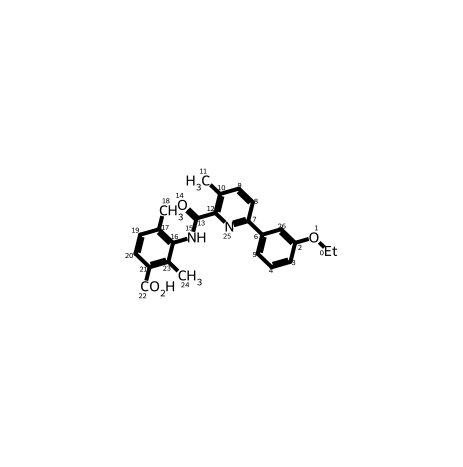 CCOc1cccc(-c2ccc(C)c(C(=O)Nc3c(C)ccc(C(=O)O)c3C)n2)c1